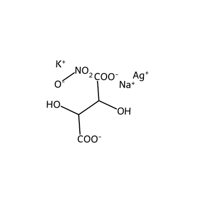 O=C([O-])C(O)C(O)C(=O)[O-].O=[N+]([O-])[O-].[Ag+].[K+].[Na+]